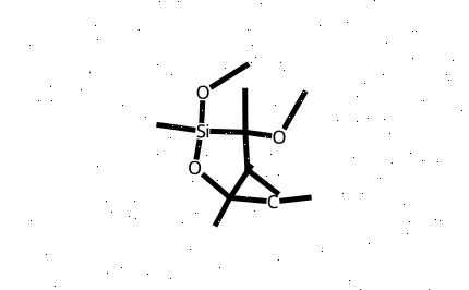 CCC(C)(C)O[Si](C)(OC)C(C)(CC)OC